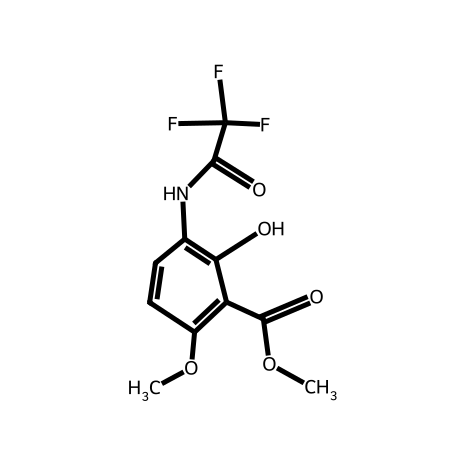 COC(=O)c1c(OC)ccc(NC(=O)C(F)(F)F)c1O